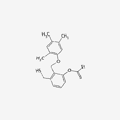 CCC(=S)Oc1cccc(CS)c1COc1cc(C)c(C)cc1C